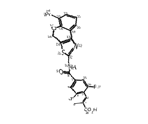 CC(=Cc1c(F)cc(C(=O)Nc2nc3c(s2)COc2c-3cccc2C(C)C)cc1F)C(=O)O